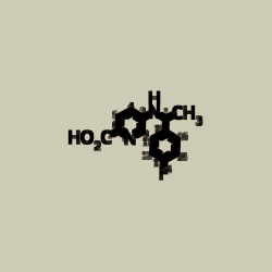 CC(Nc1ccc(C(=O)O)nc1)c1ccc(F)cc1